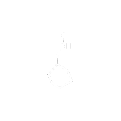 ClBSc1ccccc1